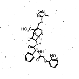 Cn1nnnc1SCC1=C(C(=O)O)N2C(=O)C(NC(=O)[C@@H](NC(=O)COc3ccccc3[N+](=O)[O-])c3ccccc3)[C@@H]2SC1